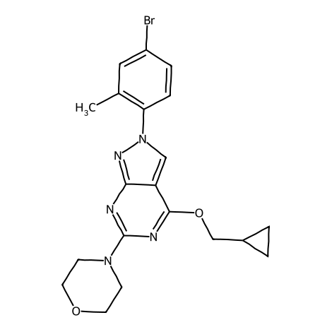 Cc1cc(Br)ccc1-n1cc2c(OCC3CC3)nc(N3CCOCC3)nc2n1